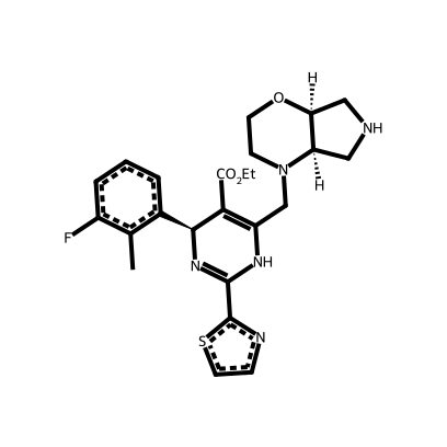 CCOC(=O)C1=C(CN2CCO[C@H]3CNC[C@H]32)NC(c2nccs2)=N[C@H]1c1cccc(F)c1C